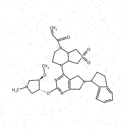 C=CC(=O)N1CCN(c2nc(O[C@@H]3CN(C)C[C@H]3OC)nc3c2CN(C2CCc4ccccc42)C3)C2CS(=O)(=O)CC21